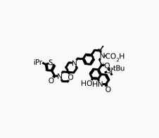 CC(C)c1cc(C(=O)N2CCOC3(CCN(Cc4cccc(C[C@@H](C)N(C[C@@H](O[Si](C)(C)C(C)(C)C)c5ccc(O)c6[nH]c(=O)ccc56)C(=O)O)c4)CC3)C2)cs1